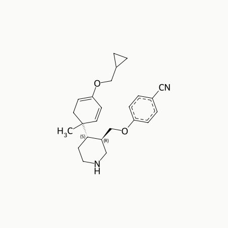 CC1([C@H]2CCNC[C@@H]2COc2ccc(C#N)cc2)C=CC(OCC2CC2)=CC1